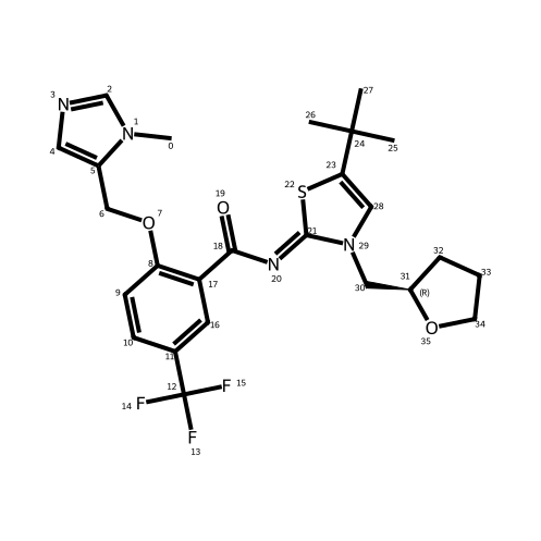 Cn1cncc1COc1ccc(C(F)(F)F)cc1C(=O)N=c1sc(C(C)(C)C)cn1C[C@H]1CCCO1